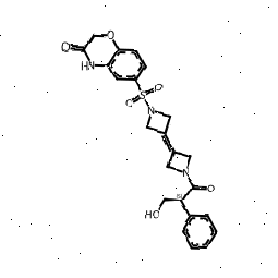 O=C1COc2ccc(S(=O)(=O)N3CC(=C4CN(C(=O)[C@H](CO)c5ccccc5)C4)C3)cc2N1